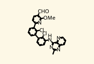 COc1nc(-c2cccc(-c3cccc(Nc4nc(C)nc5cccnc45)c3Cl)c2Cl)ccc1C=O